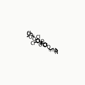 CC(=O)O[C@@H](CCl)COc1c(Cl)cc(S(=O)(=O)c2ccc(OC[C@@H](C)Cn3ccnc3)cc2)cc1Cl